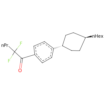 CCCCCC[C@H]1CC[C@H](c2ccc(C(=O)C(F)(F)CCC)cc2)CC1